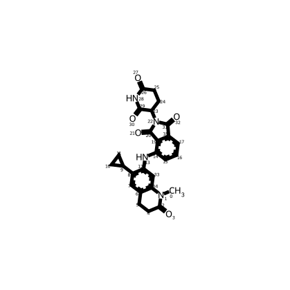 CN1C(=O)CCc2cc(C3CC3)c(Nc3cccc4c3C(=O)N(C3CCC(=O)NC3=O)C4=O)cc21